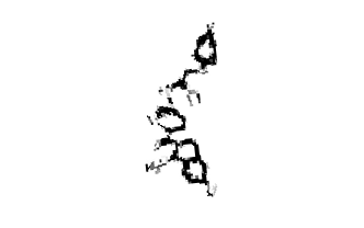 C[C@@H]1c2ccc(Cl)cc2CCN1C(=O)[C@@H]1CC[C@@H](NC(=O)COc2ccc(Cl)cc2)CO1